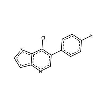 Fc1ccc(-c2cnc3ccsc3c2Cl)cc1